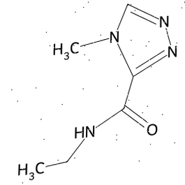 CCNC(=O)c1nncn1C